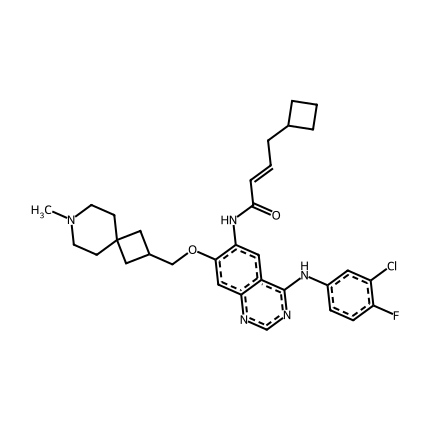 CN1CCC2(CC1)CC(COc1cc3ncnc(Nc4ccc(F)c(Cl)c4)c3cc1NC(=O)C=CCC1CCC1)C2